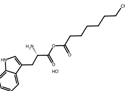 CCCCCCCC(=O)OC(=O)[C@@H](N)Cc1c[nH]c2ccccc12.Cl